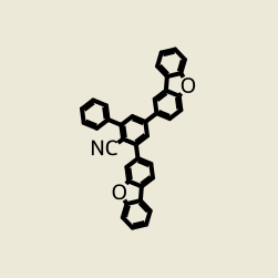 N#Cc1c(-c2ccccc2)cc(-c2ccc3oc4ccccc4c3c2)cc1-c1ccc2c(c1)oc1ccccc12